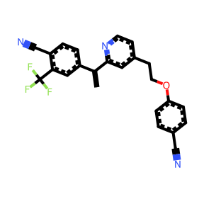 C=C(c1ccc(C#N)c(C(F)(F)F)c1)c1cc(CCOc2ccc(C#N)cc2)ccn1